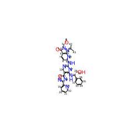 COCn1c(=O)c2ccc(Nc3ncc(-c4nc(-c5ccccn5)no4)c(N[C@H](CO)c4ccccc4)n3)nc2n1C(C)C